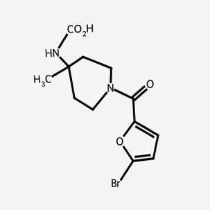 CC1(NC(=O)O)CCN(C(=O)c2ccc(Br)o2)CC1